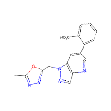 Cc1nnc(Cn2ncc3ncc(-c4ccccc4C(=O)O)cc32)o1